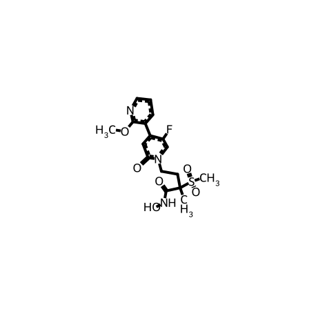 COc1ncccc1-c1cc(=O)n(CCC(C)(C(=O)NO)S(C)(=O)=O)cc1F